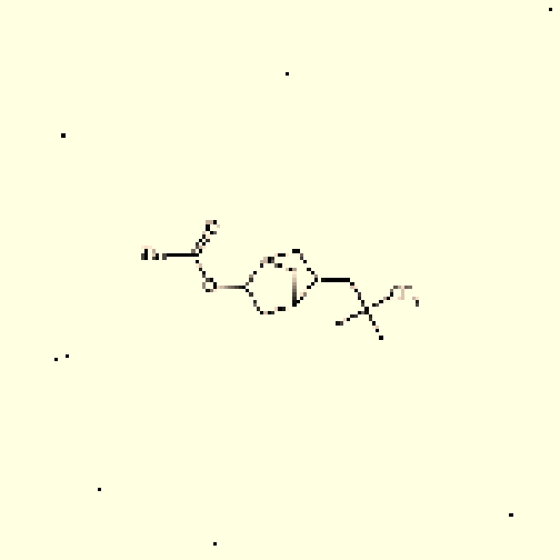 CCC(C)C(=O)OC1CC2CC1CC2CC(C)(C)C(F)(F)F